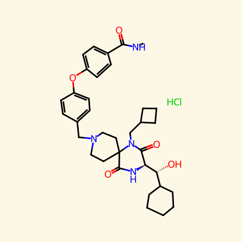 CNC(=O)c1ccc(Oc2ccc(CN3CCC4(CC3)C(=O)N[C@H]([C@H](O)C3CCCCC3)C(=O)N4CC3CCC3)cc2)cc1.Cl